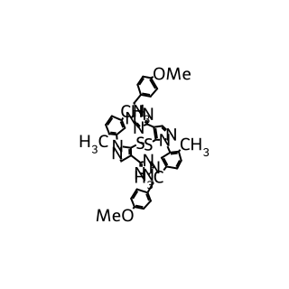 COc1ccc(Cn2nnc(-c3cnn(-c4cc(C)ccc4C)c3SSc3c(-c4nnn(Cc5ccc(OC)cc5)n4)cnn3-c3cc(C)ccc3C)n2)cc1